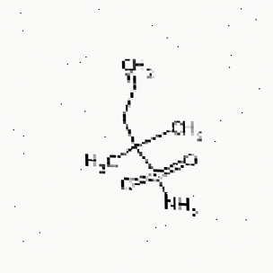 C=CCC(C)(C)S(N)(=O)=O